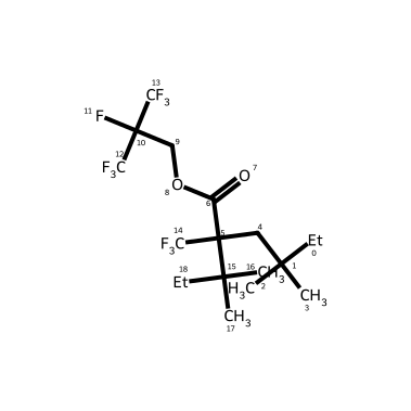 CCC(C)(C)CC(C(=O)OCC(F)(C(F)(F)F)C(F)(F)F)(C(F)(F)F)C(C)(C)CC